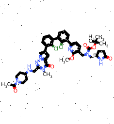 COc1nc(-c2cccc(-c3cccc(-c4cc5c(=O)n(C)c(CNC6CCN(C(C)=O)CC6)nn5c4)c3Cl)c2Cl)ccc1CN(C[C@@H]1CCC(=O)N1)C(=O)OC(C)(C)C